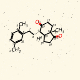 Cc1ccc(C)c(CC[C@@H]2C(=O)CC[C@]3(C)C(=O)CC[C@@H]23)c1